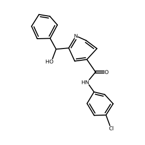 O=C(Nc1ccc(Cl)cc1)c1ccnc(C(O)c2ccccc2)c1